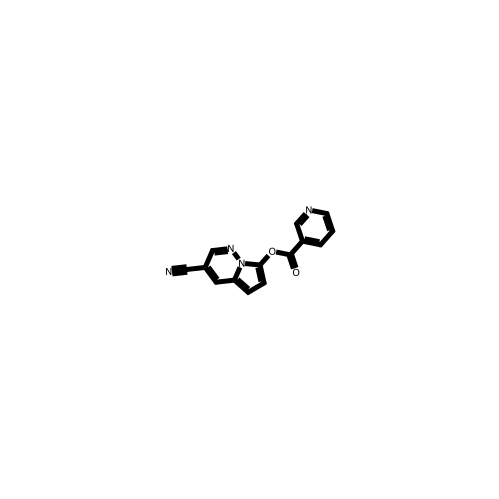 N#Cc1cnn2c(OC(=O)c3cccnc3)ccc2c1